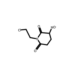 O=[N+]C1CCC(=O)N(CCCl)C1=O